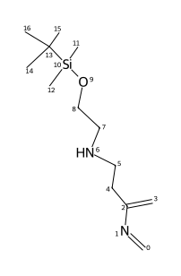 C=NC(=C)CCNCCO[Si](C)(C)C(C)(C)C